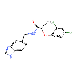 CC(Oc1ccc(Cl)cc1Cl)C(=O)NCc1ccc2[nH]cnc2c1